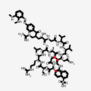 CNc1cccc(N=Nc2ccc(C(=O)C(CNC(=N)N)C[C@H](N)C(=O)NCC(=O)N[C@H](C(=O)N[C@H](C(=O)N[C@@H](CC(N)=O)C(=O)N[C@@H](C)C(=O)N[C@@H](CO)C(=O)N[C@@H](CO)C(=O)N[C@@H](CCCNC(=N)N)C(=O)N[C@@H](CC(C)C)C(=O)N[C@@H](C)C(=O)NCCNc3cccc4c(S(=O)(=O)O)cccc34)C(C)C)C(C)C)cc2)c1NC